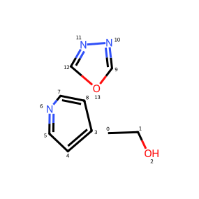 CCO.c1ccncc1.c1nnco1